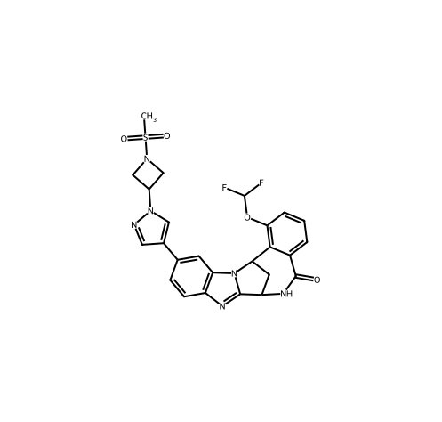 CS(=O)(=O)N1CC(n2cc(-c3ccc4nc5n(c4c3)C3CC5NC(=O)c4cccc(OC(F)F)c43)cn2)C1